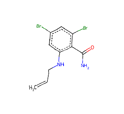 C=CCNc1cc(Br)cc(Br)c1C(N)=O